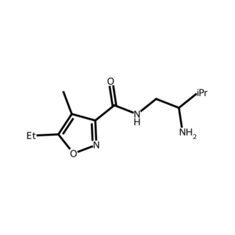 CCc1onc(C(=O)NCC(N)C(C)C)c1C